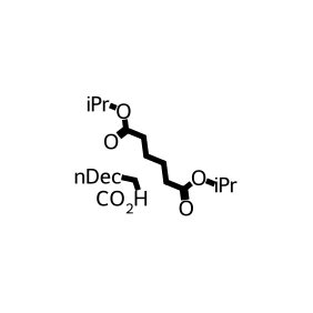 CC(C)OC(=O)CCCCC(=O)OC(C)C.CCCCCCCCCCCC(=O)O